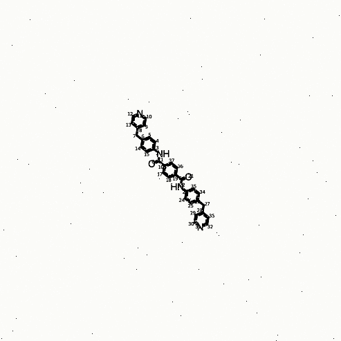 O=C(Nc1ccc(Cc2ccncc2)cc1)c1ccc(C(=O)Nc2ccc(Cc3ccncc3)cc2)cc1